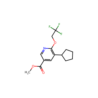 COC(=O)c1cnc(OCC(F)(F)F)c(C2CCCC2)c1